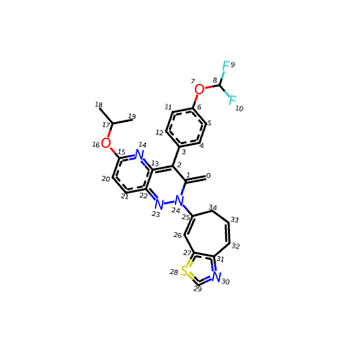 C=C1C(c2ccc(OC(F)F)cc2)=c2nc(OC(C)C)ccc2=NN1C1=Cc2scnc2C=CC1